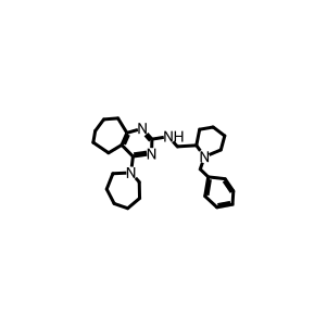 c1ccc(CN2CCCCC2CNc2nc3c(c(N4CCCCCC4)n2)CCCCC3)cc1